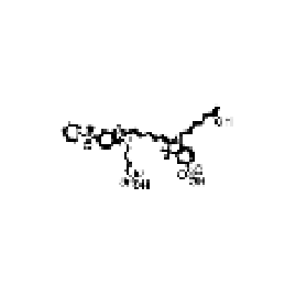 C=C(O)CCCCCN1/C(=C/C=C/C=C/c2sc3cc(S(=O)(=O)N4CCCCC4)ccc3[n+]2CCCCS(=O)(=O)O)C(C)(C)c2cc(S(=O)(=O)O)ccc21